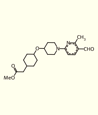 COC(=O)CC1CCC(OC2CCN(c3ccc(C=O)c(C)n3)CC2)CC1